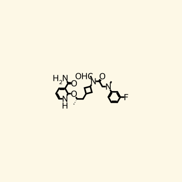 C[C@@H](CC1CC(N(C=O)C(=O)CN(C)c2cccc(F)c2)C1)OC1NC=CC=C1C(N)=O